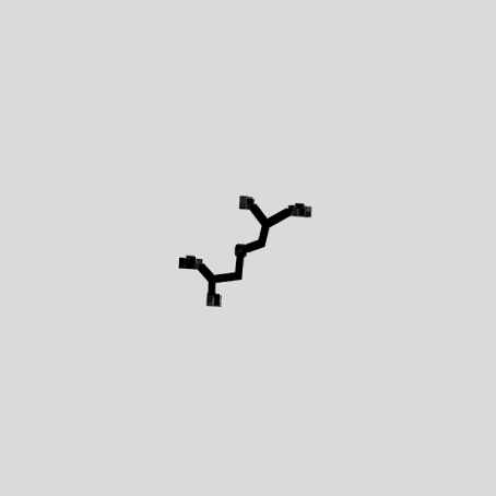 CCCCC(CC)COCC(CC)CCCC